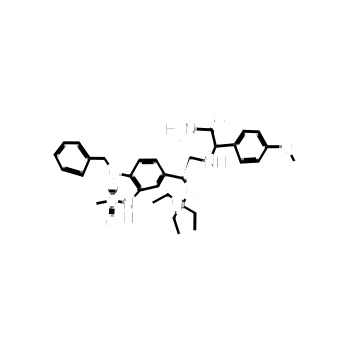 CC[Si](CC)(CC)O[C@H](CNC(C(N)=O)c1ccc(OC)cc1)c1ccc(OCc2ccccc2)c(NS(C)(=O)=O)c1